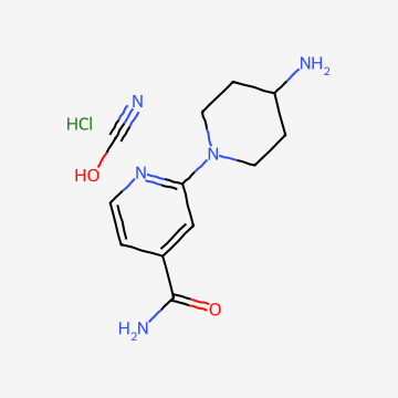 Cl.N#CO.NC(=O)c1ccnc(N2CCC(N)CC2)c1